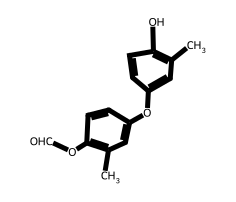 Cc1cc(Oc2ccc(OC=O)c(C)c2)ccc1O